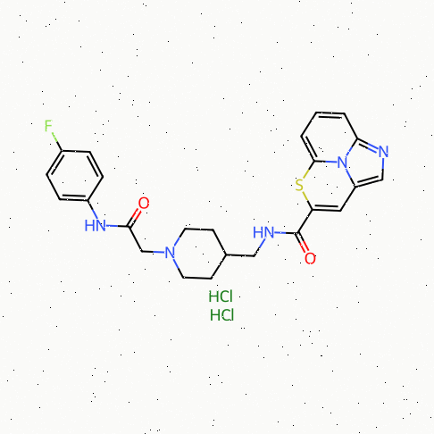 Cl.Cl.O=C(CN1CCC(CNC(=O)C2=Cc3cnc4cccc(n34)S2)CC1)Nc1ccc(F)cc1